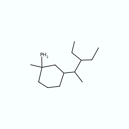 CCC(CC)C(C)C1CCCC(C)(P)C1